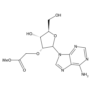 COC(=O)CO[C@H]1C(n2cnc3c(N)ncnc32)O[C@H](CO)[C@H]1O